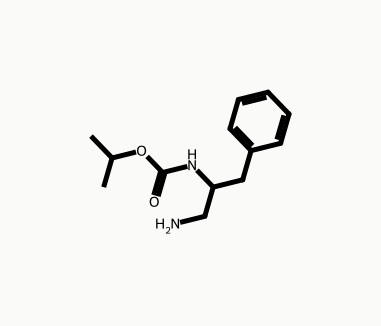 CC(C)OC(=O)NC(CN)Cc1ccccc1